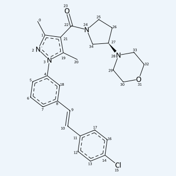 Cc1nn(-c2cccc(/C=C/c3ccc(Cl)cc3)c2)c(C)c1C(=O)N1CC[C@@H](N2CCOCC2)C1